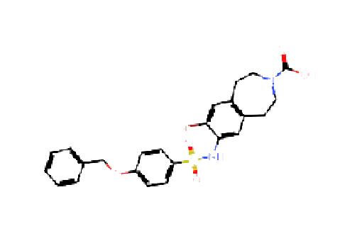 O=C(O)N1CCc2cc(Br)c(NS(=O)(=O)c3ccc(OCc4ccccc4)cc3)cc2CC1